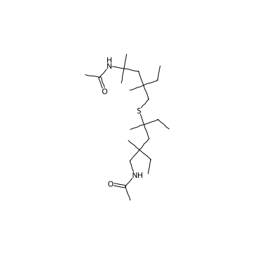 CCC(C)(CSC(C)(CC)CC(C)(CC)CNC(C)=O)CC(C)(C)NC(C)=O